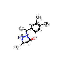 Cc1cc(=O)n(C(C)c2ccc(C(F)(F)F)c(C)c2)[nH]1